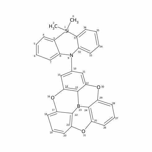 C[Si]1(C)c2ccccc2N(c2cc3c4c(c2)Oc2cccc5c2B4c2c(cccc2O3)O5)c2ccccc21